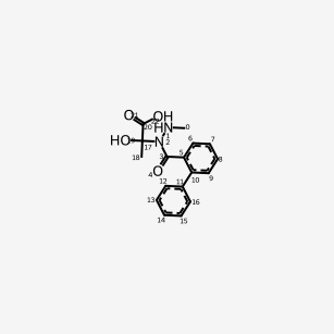 CNN(C(=O)c1ccccc1-c1ccccc1)C(C)(O)C(=O)O